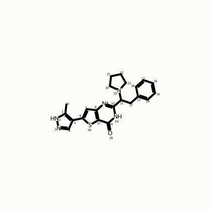 Cc1[nH]ncc1-c1cc2nc(C(Cc3ccccc3)N3CCCC3)[nH]c(=O)c2s1